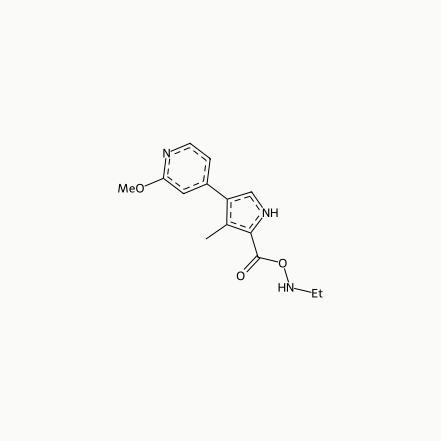 CCNOC(=O)c1[nH]cc(-c2ccnc(OC)c2)c1C